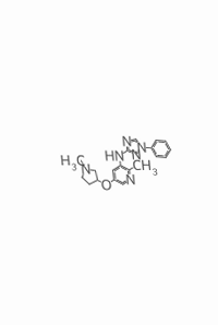 Cc1ncc(OC2CCN(C)C2)cc1Nc1ncn(-c2ccccc2)n1